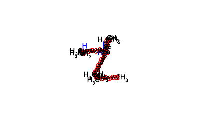 COCCOCCOCCOCCOCCC(C)(C)OCCC(C)(C)OCCOCCOCCOCCOCCOCCNC(=O)C(Cc1ccc(OCC(=O)OC(C)(C)C)cc1)NC(=O)CCOCCOCCOCCOCCNC(=O)OC(C)(C)C